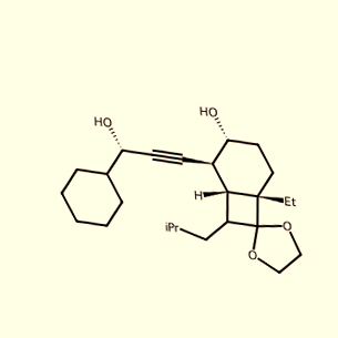 CC[C@]12CC[C@@H](O)[C@H](C#C[C@@H](O)C3CCCCC3)[C@H]1C(CC(C)C)C21OCCO1